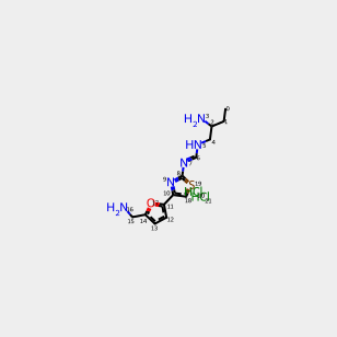 CCC(N)CNC=Nc1nc(-c2ccc(CN)o2)cs1.Cl.Cl